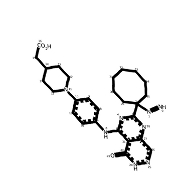 N=NC1(c2nc(Nc3ccc(N4CCC(CC(=O)O)CC4)cc3)c3c(=O)[nH]ncc3n2)CCCCCCC1